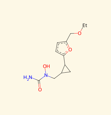 CCOCc1ccc(C2CC2CN(O)C(N)=O)o1